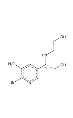 Cc1cc([C@@H](CO)NCCO)cnc1Br